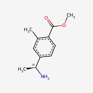 COC(=O)c1ccc([C@H](C)N)cc1C